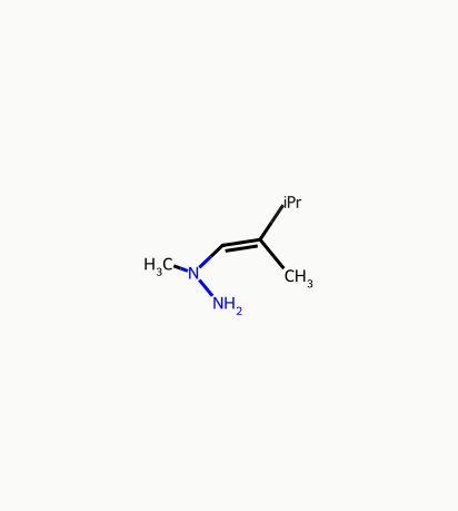 C/C(=C\N(C)N)C(C)C